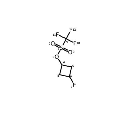 O=S(=O)(OC1CC(F)C1)C(F)(F)F